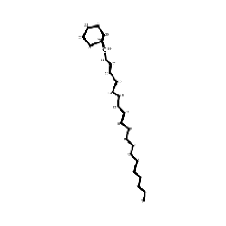 CCCCCCCCCCCCCCCCCCCCC1CCCCC1